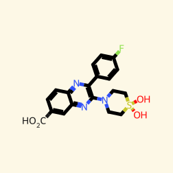 O=C(O)c1ccc2nc(-c3ccc(F)cc3)c(N3CCS(O)(O)CC3)nc2c1